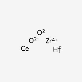 [Ce].[Hf].[O-2].[O-2].[Zr+4]